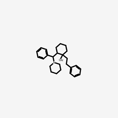 OC1(CCc2ccccc2)CCCCC1C(c1ccccc1)N1CCCCC1